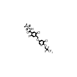 CN(C)S(=O)(=O)NC(=O)c1cc(Cl)c(COc2cnc(OCC(F)(F)C(F)(F)F)c(Cl)c2)cc1F